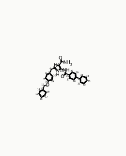 NC(=O)c1nc(Cc2ccc(OCc3ccccc3)cc2)[nH]c1NC(=O)c1ccc(-c2ccccc2)cc1